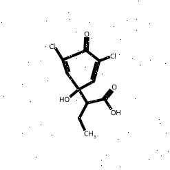 CCC(C(=O)O)C1(O)C=C(Cl)C(=O)C(Cl)=C1